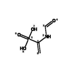 C=C(NC=O)P(=O)(O)O